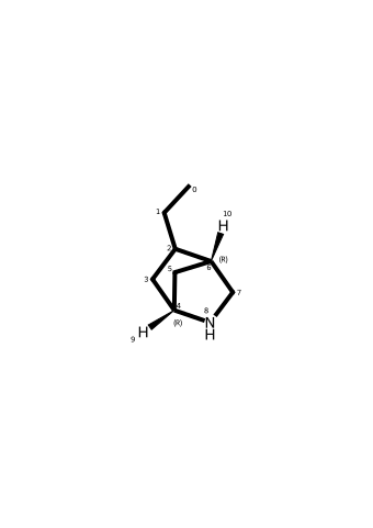 CCC1C[C@@H]2C[C@H]1CN2